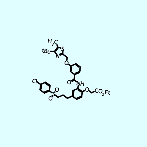 CCOC(=O)COc1ccc(CCCS(=O)(=O)c2ccc(Cl)cc2)cc1NC(=O)c1cccc(OCc2nc(C(C)(C)C)c(C)s2)c1